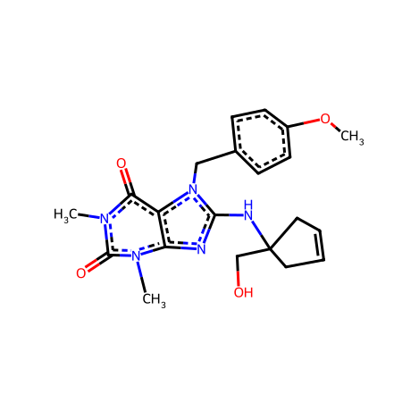 COc1ccc(Cn2c(NC3(CO)CC=CC3)nc3c2c(=O)n(C)c(=O)n3C)cc1